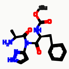 C[C@H](N)C(=O)N(C(=O)[C@H](Cc1ccccc1)NC(=O)OC(C)(C)C)c1cc[nH]n1